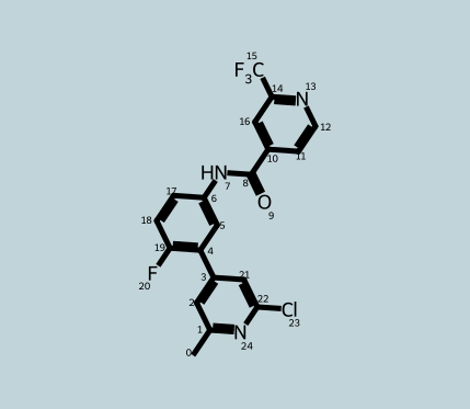 Cc1cc(-c2cc(NC(=O)c3ccnc(C(F)(F)F)c3)ccc2F)cc(Cl)n1